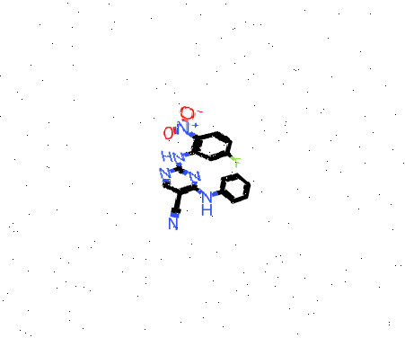 N#Cc1cnc(Nc2cc(F)ccc2[N+](=O)[O-])nc1Nc1ccccc1